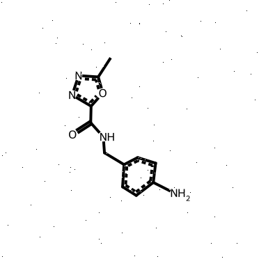 Cc1nnc(C(=O)NCc2ccc(N)cc2)o1